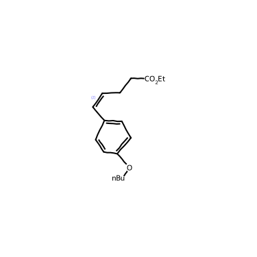 CCCCOc1ccc(/C=C\CCC(=O)OCC)cc1